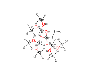 CC[CH][Si](O[Si](C)(O[Si](C)(C)C)O[Si](C)(C)C)(O[Si](C)(O[Si](C)(C)C)O[Si](C)(C)C)O[Si](C)(O[Si](C)(C)C)O[Si](C)(C)C